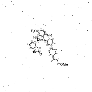 COCCN(C)C1CCN(c2ccc(Nc3ncc(C(F)(F)F)c(NCc4cccc5c4CC(=O)N5)n3)c(OC)c2)CC1